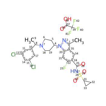 Cc1nn(C2CCN(C(C)c3cc(Cl)cc(Cl)c3)CC2)c2cc(F)c(C(=O)NS(=O)(=O)C3CC3)cc12.O=C(O)C(F)(F)F